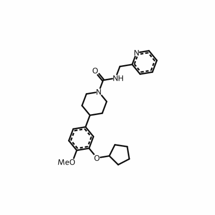 COc1ccc(C2CCN(C(=O)NCc3ccccn3)CC2)cc1OC1CCCC1